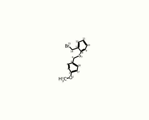 COc1ccc(CSc2ccccc2CBr)cc1